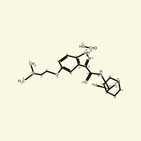 CN(C)CCOc1ccc2[nH]nc(C(=O)N[C@@H]3CN4CCC3CC4)c2c1.O=CO